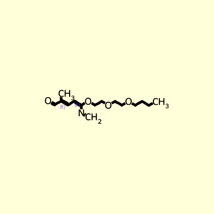 C=N/C(=C\C=C(/C)C=O)OCCOCCOCCCC